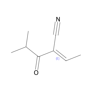 C/C=C(\C#N)C(=O)C(C)C